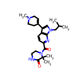 CC(C)Cn1cc(C2=CCN(C)CC2)c2ccc(C(=O)N3CCNC(=O)C3(C)C)nc21